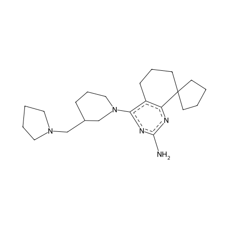 Nc1nc(N2CCCC(CN3CCCC3)C2)c2c(n1)C1(CCCC1)CCC2